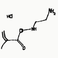 C=C(C)C(=O)ONCCN.Cl